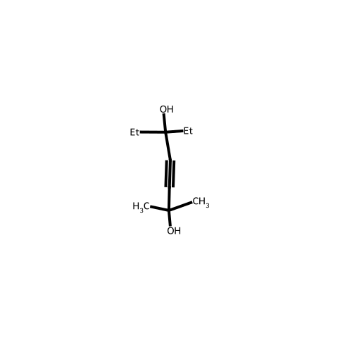 CCC(O)(C#CC(C)(C)O)CC